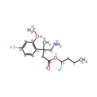 CCCC(F)OC(=O)CC(C)(CN)c1ccc(F)cc1OC